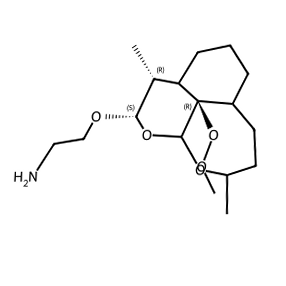 COO[C@]12C3CCCC1[C@@H](C)[C@@H](OCCN)OC2OC(C)CC3